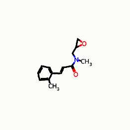 Cc1ccccc1C=CC(=O)N(C)CC1CO1